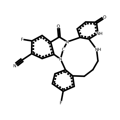 N#Cc1cc2c(cc1F)C(=O)N1CN2c2ccc(F)cc2CCCNc2[nH]c(=O)ccc21